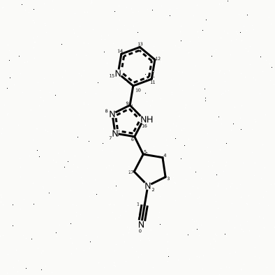 N#CN1CCC(c2nnc(-c3ccccn3)[nH]2)C1